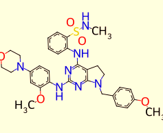 CNS(=O)(=O)c1ccccc1Nc1nc(Nc2ccc(N3CCOCC3)cc2OC)nc2c1CCN2Cc1ccc(OC)cc1